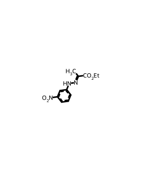 CCOC(=O)/C(C)=N/Nc1cccc([N+](=O)[O-])c1